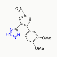 COc1ccc(-c2ccc([N+](=O)[O-])cc2-c2nn[nH]n2)cc1OC